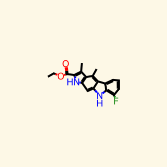 CCOC(=O)c1[nH]c2cc3[nH]c4c(F)cccc4c3c(C)c2c1C